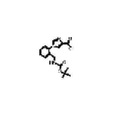 CC(C)(C)OC(=O)NCc1ccccc1-n1cnc(C(=O)O)c1